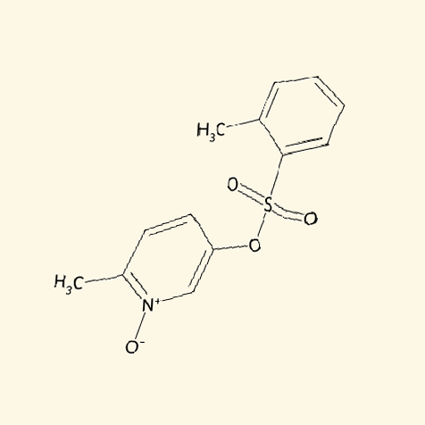 Cc1ccccc1S(=O)(=O)Oc1ccc(C)[n+]([O-])c1